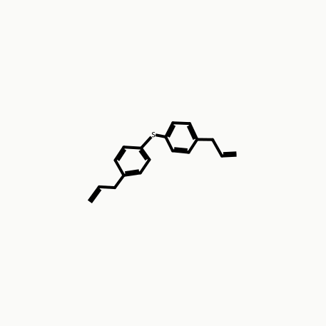 C=CCc1ccc(Sc2ccc(CC=C)cc2)cc1